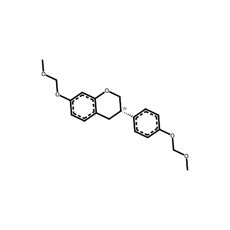 COCOc1ccc([C@H]2COc3cc(OCOC)ccc3C2)cc1